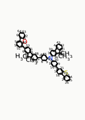 CC1(C)c2ccc(-c3ccc(N(c4ccc(-c5ccc6c(c5)sc5ccccc56)cc4)c4ccc5c(c4)C(C)(C)c4ccccc4-5)cc3)cc2-c2ccc(-c3cccc4c3oc3ccccc34)cc21